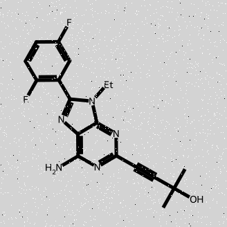 CCn1c(-c2cc(F)ccc2F)nc2c(N)nc(C#CC(C)(C)O)nc21